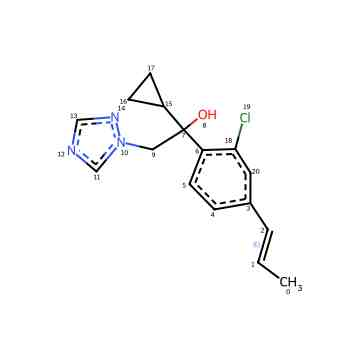 C/C=C/c1ccc(C(O)(Cn2cncn2)C2CC2)c(Cl)c1